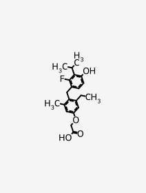 CCc1cc(OCC(=O)O)cc(C)c1Cc1ccc(O)c(C(C)C)c1F